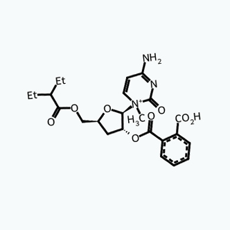 CCC(CC)C(=O)OC[C@@H]1C[C@@H](OC(=O)c2ccccc2C(=O)O)[C@H]([N+]2(C)C=CC(N)=NC2=O)O1